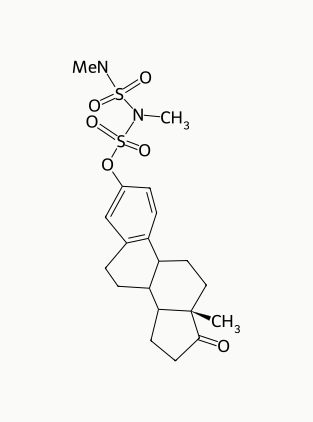 CNS(=O)(=O)N(C)S(=O)(=O)Oc1ccc2c(c1)CCC1C2CC[C@]2(C)C(=O)CCC12